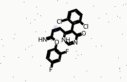 N=C(/C=C\c1[nH]cnc(=O)c1-c1c(Cl)cccc1Cl)Oc1ccc(F)cc1F